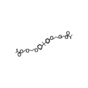 C=C(C)C(=O)OCCOCCCOc1ccc(C(C)(C)c2ccc(OCCCOCCOC(=O)C(=C)C)cc2)cc1